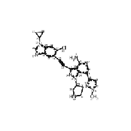 Cn1ccc(-c2cnc(N)c3c(C#Cc4cc5ncn(C6CC6)c5cc4Cl)nn(C4CCNC4)c23)n1